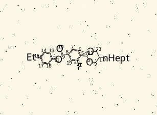 CCCCCCCC1COC(c2ccc(C(=O)Oc3ccc(CC)cc3)cc2F)OC1